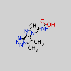 Cc1c(C)n2nnnc2c2nc(C)n(CCNC(=O)O)c12